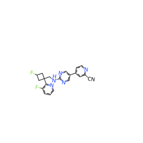 N#Cc1cc(-c2cnc(NCC3(c4ncccc4F)CC(F)C3)nc2)ccn1